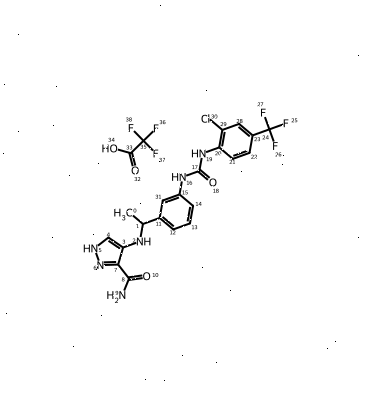 CC(Nc1c[nH]nc1C(N)=O)c1cccc(NC(=O)Nc2ccc(C(F)(F)F)cc2Cl)c1.O=C(O)C(F)(F)F